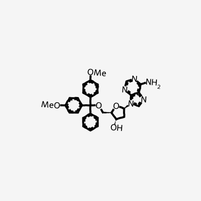 COc1ccc(C(OC[C@H]2O[C@@H](n3cnc4c(N)ncnc43)C[C@@H]2O)(c2ccccc2)c2ccc(OC)cc2)cc1